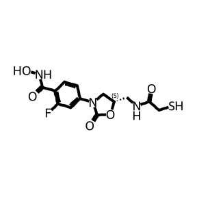 O=C(CS)NC[C@H]1CN(c2ccc(C(=O)NO)c(F)c2)C(=O)O1